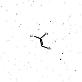 CC/C(C#N)=C\C(C)C